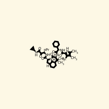 CCC[C@H](NC(=O)[C@@H]1C[C@@H]2CCCC3[C@@H]2N1C(=O)[C@@H](NC(=O)[C@@H](NC(=O)c1[nH]c(C)c(C)c1C(C)=O)C1CCCCC1)C3(C)C)C(=O)C(=O)NC1CC1